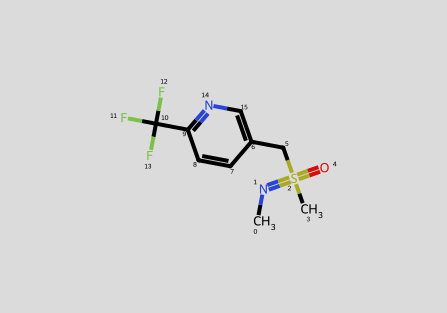 CN=S(C)(=O)Cc1ccc(C(F)(F)F)nc1